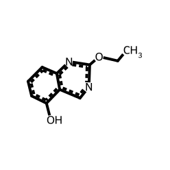 CCOc1ncc2c(O)cccc2n1